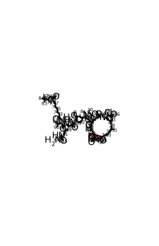 COc1cc(C(=O)N(C)[C@@H](C)C(=O)O[C@H]2CC(=O)N(C)c3cc(cc(OC)c3Cl)C/C(C)=C/C=C/[C@@H](OC)[C@@]3(O)C[C@H](OC(=O)N3)[C@@H](C)[C@@H]3O[C@@]23C)ccc1NC(=O)[C@H](CCCNC(N)=O)NC(=O)[C@@H](NC(=O)CCCCCN1CC(C(C)(C)C)CC1=O)C(C)C